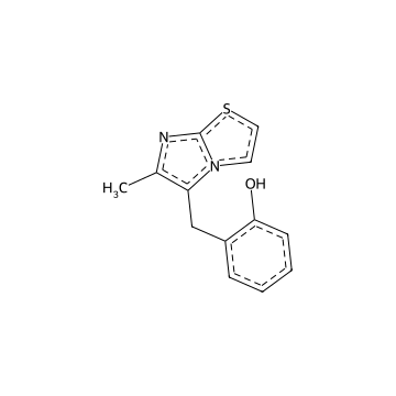 Cc1nc2sccn2c1Cc1ccccc1O